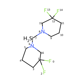 FC1(F)CCCN([SiH2]N2CCCC(F)(F)C2)C1